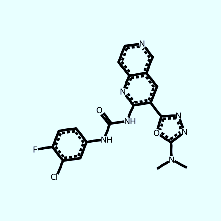 CN(C)c1nnc(-c2cc3cnccc3nc2NC(=O)Nc2ccc(F)c(Cl)c2)o1